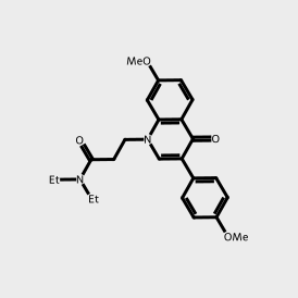 CCN(CC)C(=O)CCn1cc(-c2ccc(OC)cc2)c(=O)c2ccc(OC)cc21